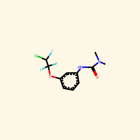 CN(C)C(=O)Nc1cccc(OC(F)(F)C(F)Cl)c1